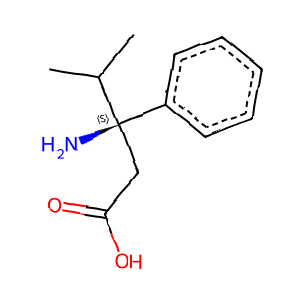 CC(C)[C@@](N)(CC(=O)O)c1ccccc1